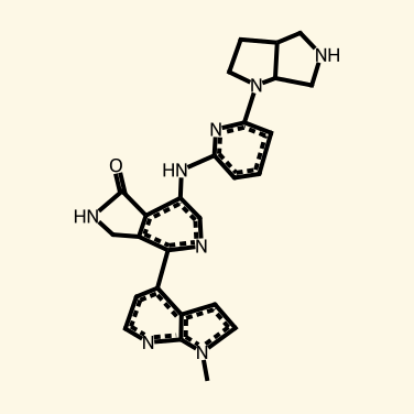 Cn1ccc2c(-c3ncc(Nc4cccc(N5CCC6CNCC65)n4)c4c3CNC4=O)ccnc21